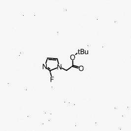 CC(C)(C)OC(=O)Cn1ccnc1F